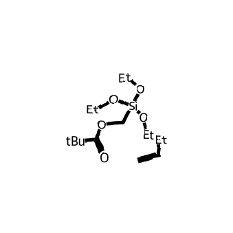 C=CCC.CCO[Si](COC(=O)C(C)(C)C)(OCC)OCC